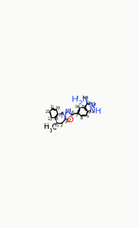 C[C@H](Cc1nnc(-c2ccc3[nH]nc(N)c3c2)o1)c1ccccc1